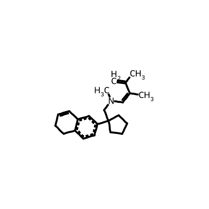 C=C(C)/C(C)=C\N(C)CC1(c2ccc3c(c2)C=CCC3)CCCC1